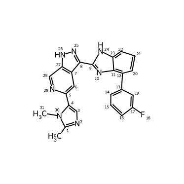 Cc1ncc(-c2cc3c(-c4nc5c(-c6cccc(F)c6)cccc5[nH]4)n[nH]c3cn2)n1C